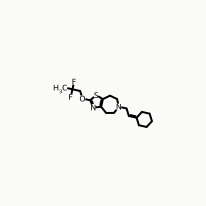 CC(F)(F)COc1nc2c(s1)CCN(CC=C1CCCCC1)CC2